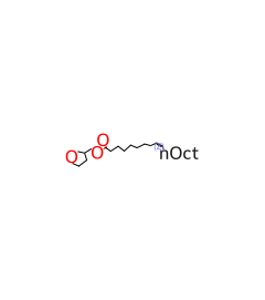 CCCCCCCC/C=C\CCCCCCCC(=O)OCC1CCCOC1